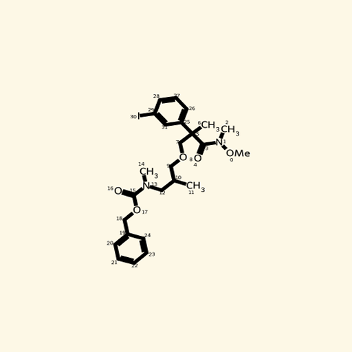 CON(C)C(=O)C(C)(COCC(C)CN(C)C(=O)OCc1ccccc1)c1cccc(I)c1